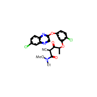 CCN(OC)C(=O)C(C#N)C(=O)C(C)Oc1cc(Oc2cnc3cc(Cl)ccc3n2)ccc1Cl